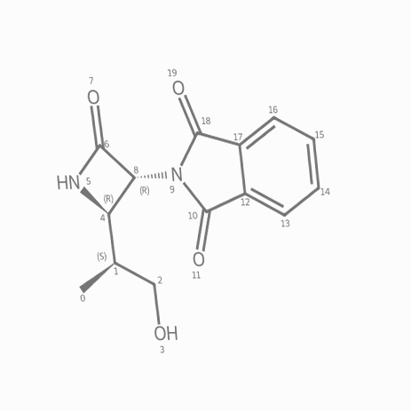 C[C@H](CO)[C@H]1NC(=O)[C@@H]1N1C(=O)c2ccccc2C1=O